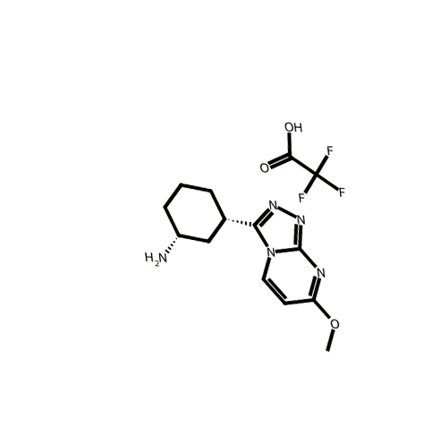 COc1ccn2c([C@H]3CCC[C@@H](N)C3)nnc2n1.O=C(O)C(F)(F)F